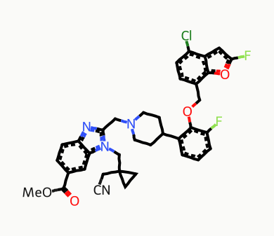 COC(=O)c1ccc2nc(CN3CCC(c4cccc(F)c4OCc4ccc(Cl)c5cc(F)oc45)CC3)n(CC3(CC#N)CC3)c2c1